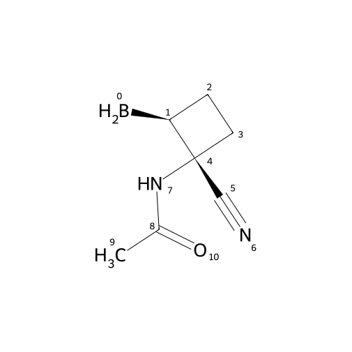 B[C@H]1CC[C@]1(C#N)NC(C)=O